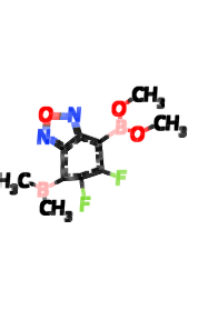 COB(OC)c1c(F)c(F)c(B(C)C)c2nonc12